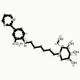 O=C(O)c1cc(-c2ncccn2)ccc1NCCCCCCN1C[C@H](O)[C@@H](O)[C@H](O)[C@H]1CO